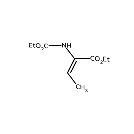 CC=C(NC(=O)OCC)C(=O)OCC